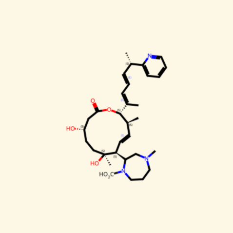 C/C(=C\C=C\[C@H](C)c1ccccn1)[C@H]1OC(=O)C[C@@H](O)CC[C@](C)(O)[C@H](C2CN(C)CCCN2C(=O)O)/C=C/[C@@H]1C